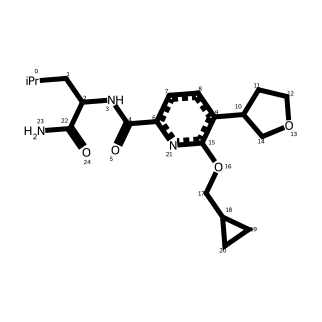 CC(C)CC(NC(=O)c1ccc(C2CCOC2)c(OCC2CC2)n1)C(N)=O